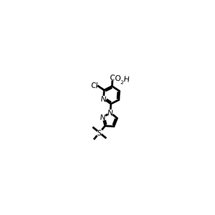 CS(C)(C)c1ccn(-c2ccc(C(=O)O)c(Cl)n2)n1